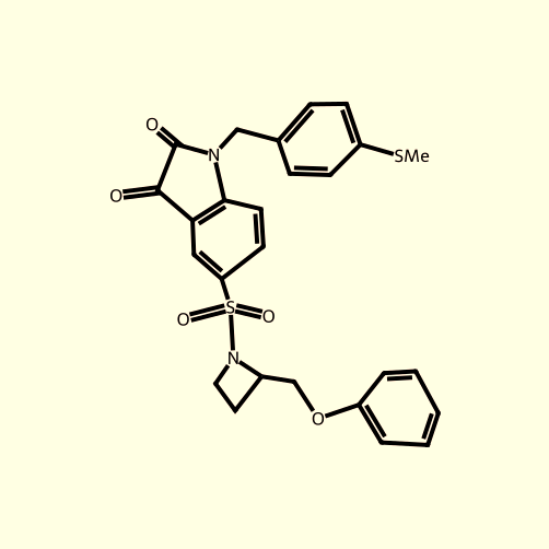 CSc1ccc(CN2C(=O)C(=O)c3cc(S(=O)(=O)N4CCC4COc4ccccc4)ccc32)cc1